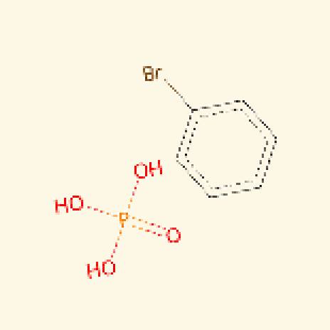 Brc1ccccc1.O=P(O)(O)O